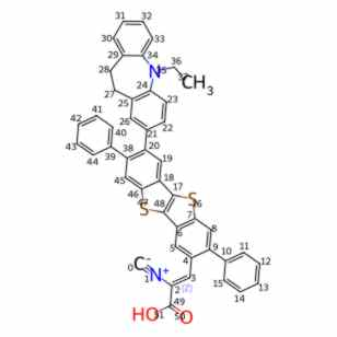 [C-]#[N+]/C(=C\c1cc2c(cc1-c1ccccc1)sc1c3cc(-c4ccc5c(c4)CCc4ccccc4N5CC)c(-c4ccccc4)cc3sc21)C(=O)O